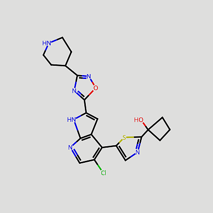 OC1(c2ncc(-c3c(Cl)cnc4[nH]c(-c5nc(C6CCNCC6)no5)cc34)s2)CCC1